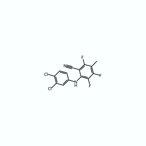 Cc1c(F)c(F)c(Nc2ccc(Cl)c(Cl)c2)c(C#N)c1F